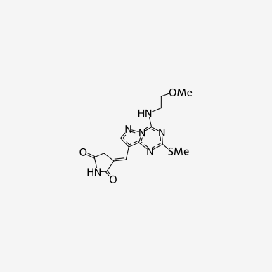 COCCNc1nc(SC)nc2c(/C=C3\CC(=O)NC3=O)cnn12